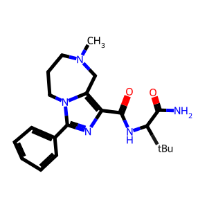 CN1CCCn2c(-c3ccccc3)nc(C(=O)NC(C(N)=O)C(C)(C)C)c2C1